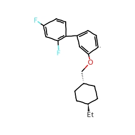 CC[C@H]1CC[C@H](COc2[c]ccc(-c3ccc(F)cc3F)c2)CC1